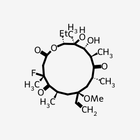 C=C[C@@]1(OC)C[C@@H](C)C(=O)[C@H](C)[C@@H](O)[C@](C)(O)[C@@H](CC)OC(=O)C[C@@](C)(F)C(=O)[C@H](C)C1